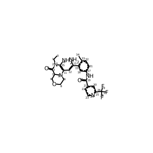 CCN1C(=O)C2COCCN2C(/C=C(\N)c2cc(NC(=O)c3ccnc(C(F)(F)F)c3)ccc2C)=C1N